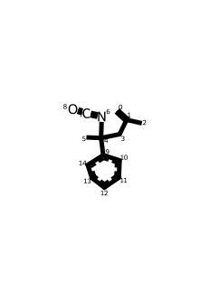 C=C(C)CC(C)(N=C=O)c1ccccc1